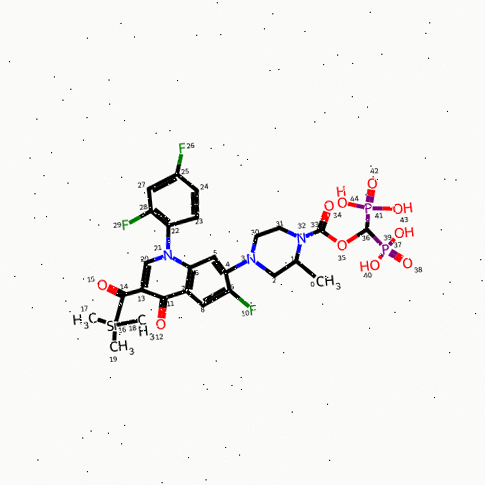 CC1CN(c2cc3c(cc2F)c(=O)c(C(=O)[Si](C)(C)C)cn3-c2ccc(F)cc2F)CCN1C(=O)OC(P(=O)(O)O)P(=O)(O)O